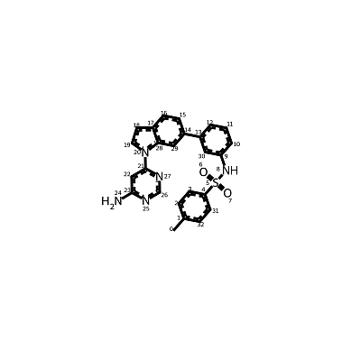 Cc1ccc(S(=O)(=O)Nc2cccc(-c3ccc4ccn(-c5cc(N)ncn5)c4c3)c2)cc1